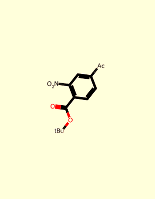 CC(=O)c1ccc(C(=O)OC(C)(C)C)c([N+](=O)[O-])c1